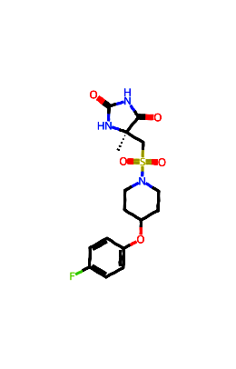 C[C@]1(CS(=O)(=O)N2CCC(Oc3ccc(F)cc3)CC2)NC(=O)NC1=O